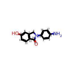 Nc1ccc(N2Cc3cc(O)ccc3C2=O)cc1